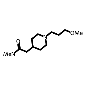 CNC(=O)CC1CCN(CCCOC)CC1